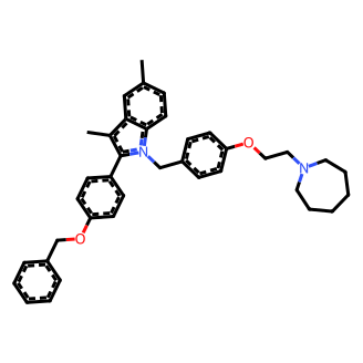 Cc1ccc2c(c1)c(C)c(-c1ccc(OCc3ccccc3)cc1)n2Cc1ccc(OCCN2CCCCCC2)cc1